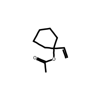 C=CC1(OC(C)=O)CCCCC1